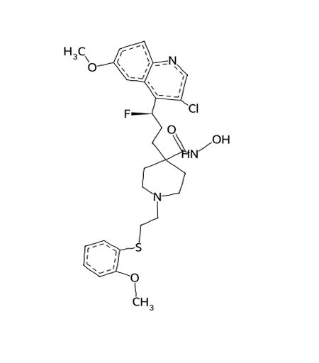 COc1ccc2ncc(Cl)c([C@H](F)CCC3(C(=O)NO)CCN(CCSc4ccccc4OC)CC3)c2c1